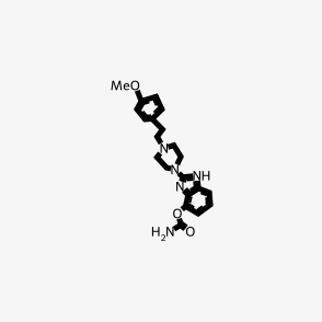 COc1ccc(CCN2CCN(c3nc4c(OC(N)=O)cccc4[nH]3)CC2)cc1